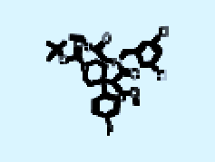 CCOC(=O)CN(Cc1cc(Cl)cc(Cl)c1)C(=O)C(C(=O)OC)C1(c2ccc(F)cc2)CCN(C(=O)OC(C)(C)C)CC1